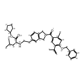 C=C(C)c1cc(C(=O)N2Cc3ccc(CCN[C@@H](CC(C)C)C(=O)OC4CCCC4)cc3C2)c(C)cc1OCc1ccccc1